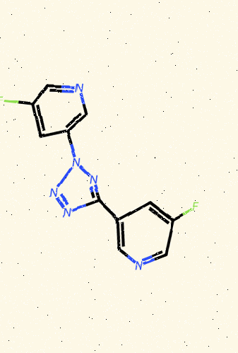 Fc1cncc(-c2nnn(-c3cncc(F)c3)n2)c1